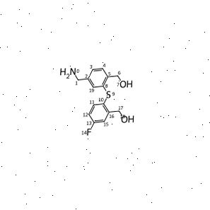 NCc1ccc(CO)c(Sc2ccc(F)cc2CO)c1